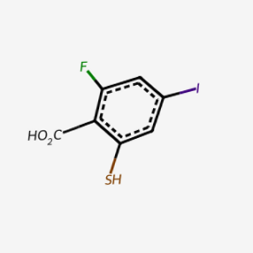 O=C(O)c1c(F)cc(I)cc1S